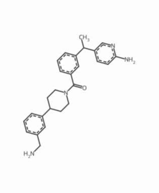 CC(c1ccc(N)nc1)c1cccc(C(=O)N2CCC(c3cccc(CN)c3)CC2)c1